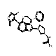 Cc1noc(C)c1-c1ccc2nc(N3CC[C@@H](NC(=O)C(F)(F)F)C3)n3c2c1OC[C@@H]3c1ccccn1